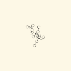 C1=CC2C=Cc3c(-c4ccc(-c5ccccc5)cc4)nc(-n4c5ccc(-c6ccccc6)cc5c5c6c7cc8c9ccccc9n(-c9ccccc9)c8cc7sc6c6ccccc6c54)nc3C2C=C1